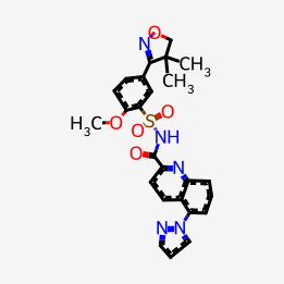 COc1ccc(C2=NOCC2(C)C)cc1S(=O)(=O)NC(=O)c1ccc2c(-n3cccn3)cccc2n1